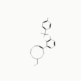 CCC1CC/C(c2cccc3c2OC(C)(c2ccc(Cl)cc2)O3)=C\CC[C@@H](C)C1